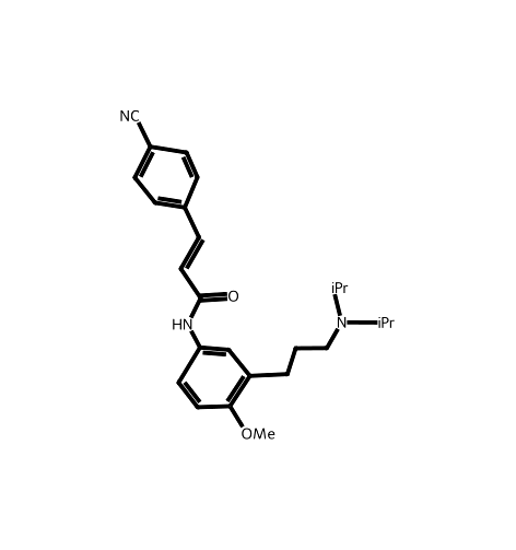 COc1ccc(NC(=O)/C=C/c2ccc(C#N)cc2)cc1CCCN(C(C)C)C(C)C